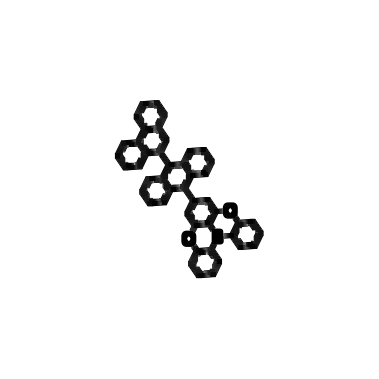 c1ccc2c(c1)Oc1cc(-c3c4ccccc4c(-c4cc5ccccc5c5ccccc45)c4ccccc34)cc3c1B2c1ccccc1O3